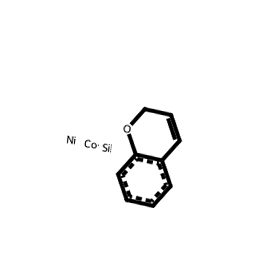 C1=Cc2ccccc2OC1.[Co].[Ni].[Si]